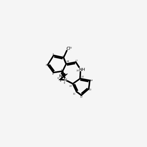 ClC1=CC=CC23N=CCN2c2ccccc2NC=C13